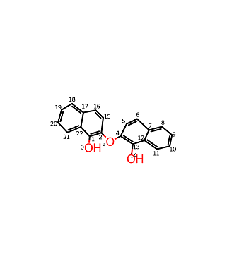 Oc1c(Oc2ccc3ccccc3c2O)ccc2ccccc12